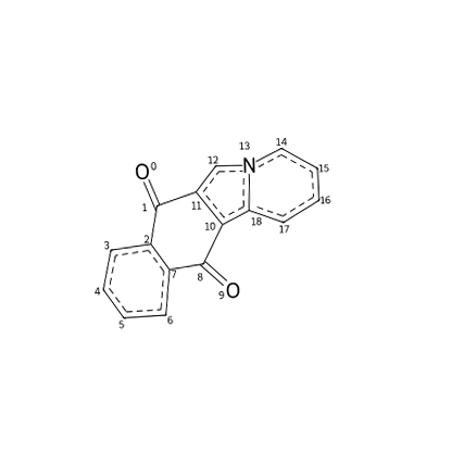 O=C1c2ccccc2C(=O)c2c1cn1ccccc21